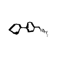 NCc1ccc(C2=CC=CCC2)cc1